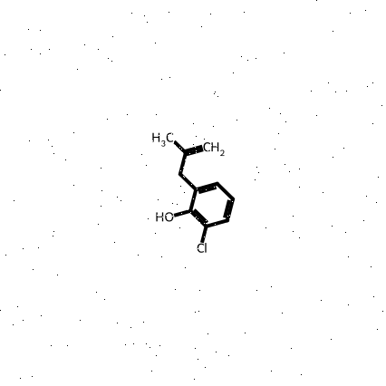 C=C(C)Cc1cccc(Cl)c1O